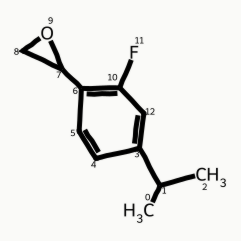 CC(C)c1ccc(C2CO2)c(F)c1